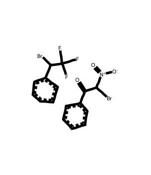 FC(F)(F)C(Br)c1ccccc1.O=C(c1ccccc1)C(Br)[N+](=O)[O-]